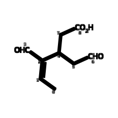 CC=C(C=O)C(CC=O)CC(=O)O